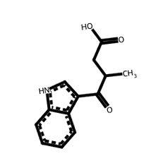 CC(CC(=O)O)C(=O)c1c[nH]c2ccccc12